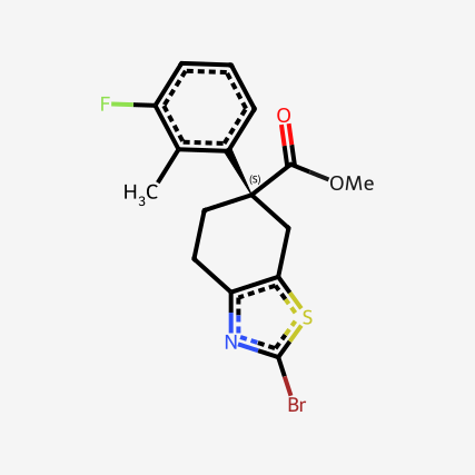 COC(=O)[C@@]1(c2cccc(F)c2C)CCc2nc(Br)sc2C1